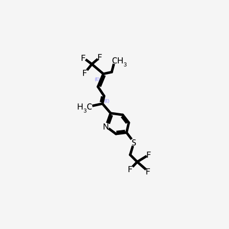 CC/C(=C\C=C(/C)c1ccc(SCC(F)(F)F)cn1)C(F)(F)F